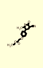 CCOC(=O)COc1ccc(C2C=C(C#N)C(=O)N=C2C)cc1